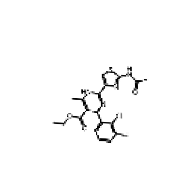 CCOC(=O)C1=C(C)NC(c2csc(NC(C)=O)n2)=NC1c1cccc(F)c1Cl